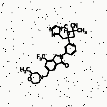 CC1CN(Cc2cc3c(c(C(F)(F)F)c2)CN(c2cccc(C4(Cc5nncn5C)CC(C)(C#N)C4)c2)C3=O)CCO1